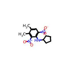 Cc1cc([N+](=O)[O-])c(NC2CCCC2)c([N+](=O)[O-])c1C